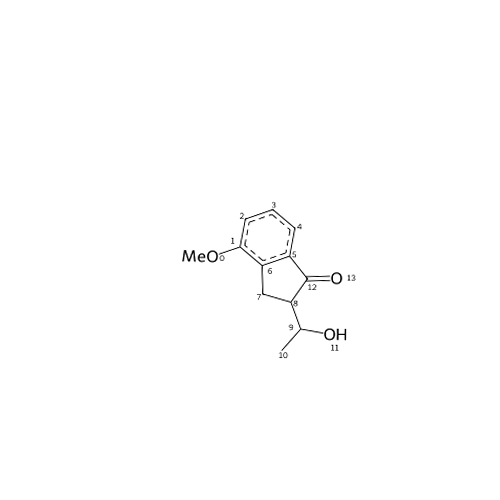 COc1cccc2c1CC(C(C)O)C2=O